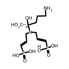 NCCC[C@@](O)(C(=O)O)N(CC=CP(=O)(O)O)CC=CP(=O)(O)O